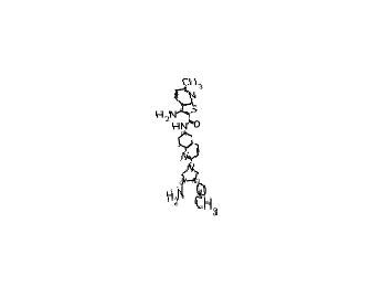 CO[C@H]1CN(c2ccc3c(n2)CC[C@H](NC(=O)c2sc4nc(C)ccc4c2N)C3)C[C@@H]1N